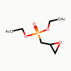 CC(=O)OCOP(=O)(CC1CO1)OCOC(C)=O